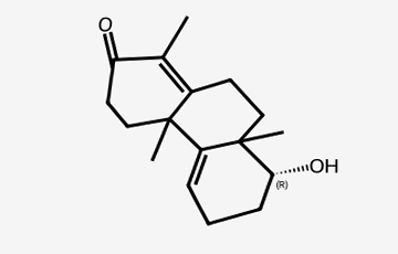 CC1=C2CCC3(C)C(=CCC[C@H]3O)C2(C)CCC1=O